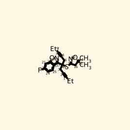 CCC#CCC(CC#CCC)(SC1=NOC(C)(C)C1)c1noc2cc(F)ccc12